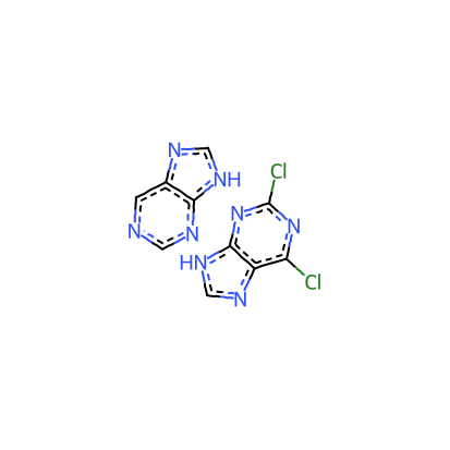 Clc1nc(Cl)c2nc[nH]c2n1.c1ncc2nc[nH]c2n1